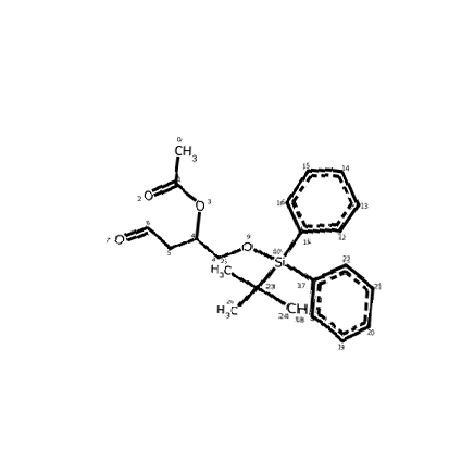 CC(=O)OC(CC=O)CO[Si](c1ccccc1)(c1ccccc1)C(C)(C)C